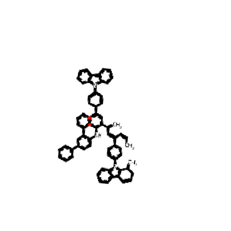 C=C(/C=C(\C=C/C)c1ccc(-n2c3c(c4ccccc42)C=CCC3C)cc1)c1cc(C2C=CC(n3c4ccccc4c4ccccc43)=CC2)ccc1Nc1ccc(-c2ccccc2)cc1-c1ccccc1